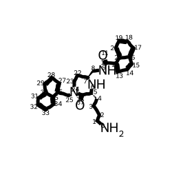 NCCCC[C@H]1N[C@H](CNC(=O)c2cccc3ccccc23)CCN(Cc2cccc3ccccc23)C1=O